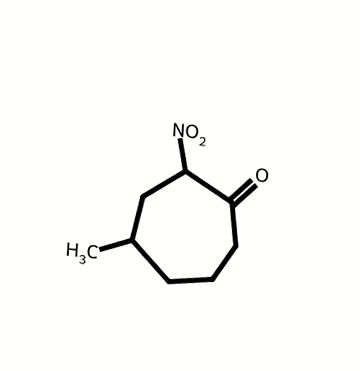 CC1CCCC(=O)C([N+](=O)[O-])C1